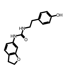 O=C(NCCc1ccc(O)cc1)Nc1ccc2c(c1)OCC2